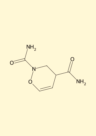 NC(=O)C1C=CON(C(N)=O)C1